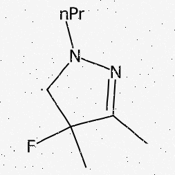 CCCN1[CH]C(C)(F)C(C)=N1